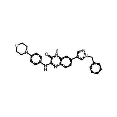 Cn1c(=O)c(Nc2ccc(N3CCOCC3)cc2)nc2ccc(-c3cnn(Cc4ccccc4)c3)cc21